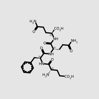 NC(=O)CC[C@H](NC(=O)[C@H](CCC(N)=O)NC(=O)[C@H](Cc1ccccc1)NC(=O)[C@@H](N)CCC(=O)O)C(=O)O